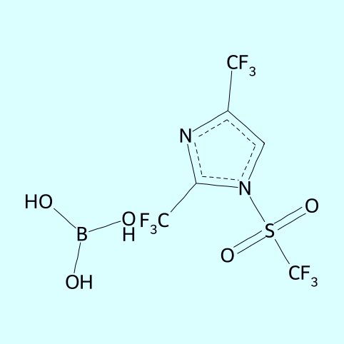 O=S(=O)(n1cc(C(F)(F)F)nc1C(F)(F)F)C(F)(F)F.OB(O)O